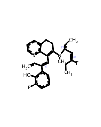 C=C/C(=C\C1=C(N(C)C(/C=C(/F)CC)=C/C)CCc2cccnc21)c1cccc(F)c1O